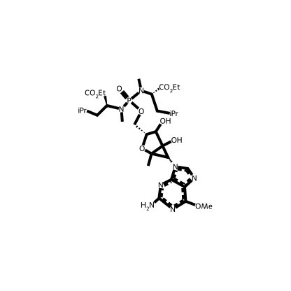 CCOC(=O)[C@H](CC(C)C)N(C)P(=O)(OC[C@H]1OC2(C)[C@@H](n3cnc4c(OC)nc(N)nc43)C2(O)C1O)N(C)[C@@H](CC(C)C)C(=O)OCC